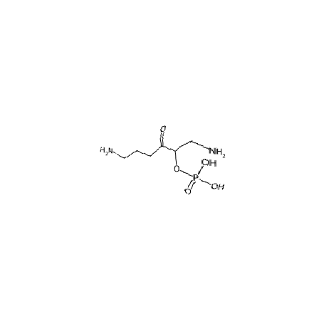 NCCCC(=O)C(CN)OP(=O)(O)O